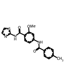 COc1cc(NC(=O)c2ccc(C)cc2)ccc1C(=O)Nc1nccs1